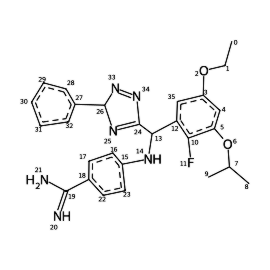 CCOc1cc(OC(C)C)c(F)c(C(Nc2ccc(C(=N)N)cc2)C2=NC(c3ccccc3)N=N2)c1